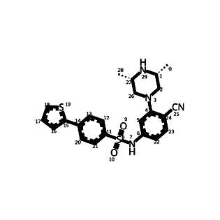 C[C@@H]1CN(c2cc(NS(=O)(=O)c3ccc(-c4cccs4)cc3)ccc2C#N)C[C@H](C)N1